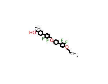 C=CCCOc1ccc(C2CCC(OCc3ccc(C4CCC(C(C)O)CC4)c(F)c3F)CC2)c(F)c1F